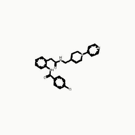 O=C(Cc1ccccc1NC(=O)c1ccc(Cl)cc1)NCC1CCN(c2ccncc2)CC1